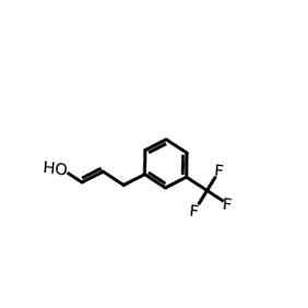 OC=CCc1cccc(C(F)(F)F)c1